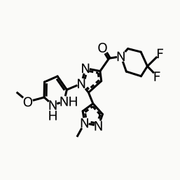 COC1=CC=C(n2nc(C(=O)N3CCC(F)(F)CC3)cc2-c2cnn(C)c2)NN1